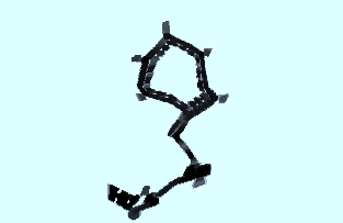 O=S(=O)(O)[Se]c1ccccc1